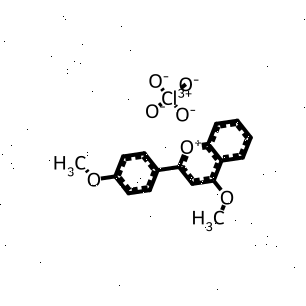 COc1ccc(-c2cc(OC)c3ccccc3[o+]2)cc1.[O-][Cl+3]([O-])([O-])[O-]